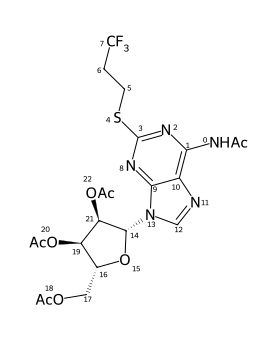 CC(=O)Nc1nc(SCCC(F)(F)F)nc2c1ncn2[C@@H]1O[C@H](COC(C)=O)[C@@H](OC(C)=O)[C@H]1OC(C)=O